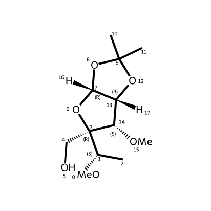 CO[C@@H](C)[C@@]1(CO)O[C@@H]2OC(C)(C)O[C@@H]2[C@@H]1OC